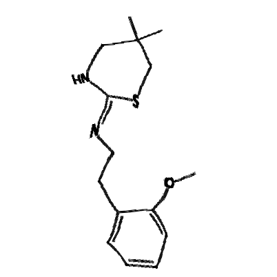 COc1ccccc1CC/N=C1/NCC(C)(C)CS1